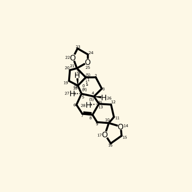 C[C@]12CC[C@H]3[C@@H](CC=C4CC5(CC[C@@H]43)OCCO5)[C@@H]1CCC21OCCO1